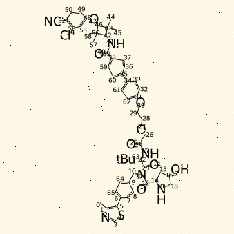 Cc1ncsc1-c1ccc(CN(C(=O)[C@@H]2C[C@@H](O)CN2)C(=O)[C@@H](NC(=O)COCCOc2ccc(-c3ccc(C(=O)N[C@H]4C(C)(C)[C@H](Oc5ccc(C#N)c(Cl)c5)C4(C)C)cc3)cc2)C(C)(C)C)cc1